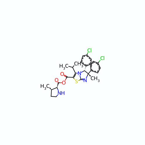 CC(C)C1=C(C(=O)OC(=O)[C@H]2NCC[C@H]2C)SC2=N[C@@](C)(c3ccc(Cl)cc3)[C@@H](c3ccc(Cl)cc3)N21